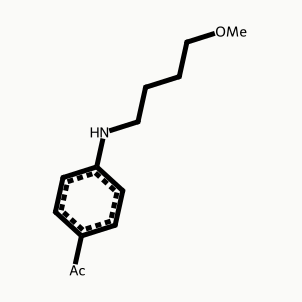 COCCCCNc1ccc(C(C)=O)cc1